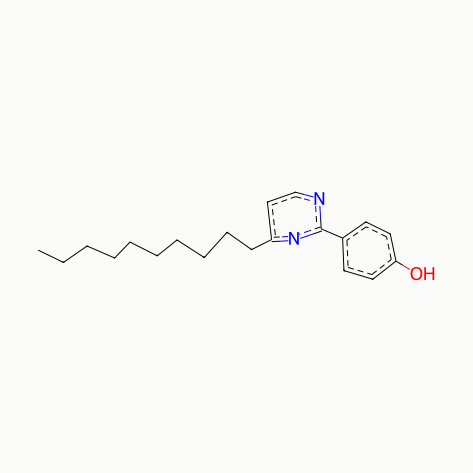 CCCCCCCCCCc1ccnc(-c2ccc(O)cc2)n1